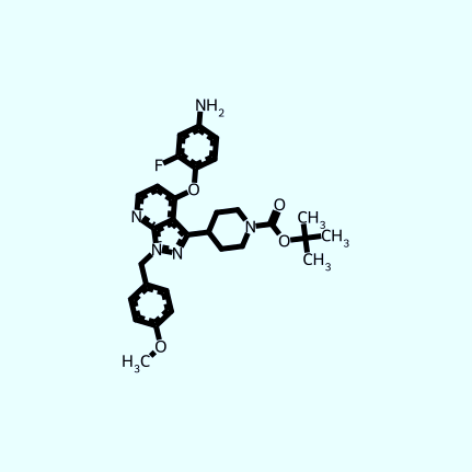 COc1ccc(Cn2nc(C3CCN(C(=O)OC(C)(C)C)CC3)c3c(Oc4ccc(N)cc4F)ccnc32)cc1